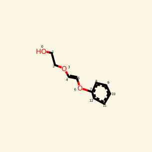 OCCOC=COc1ccccc1